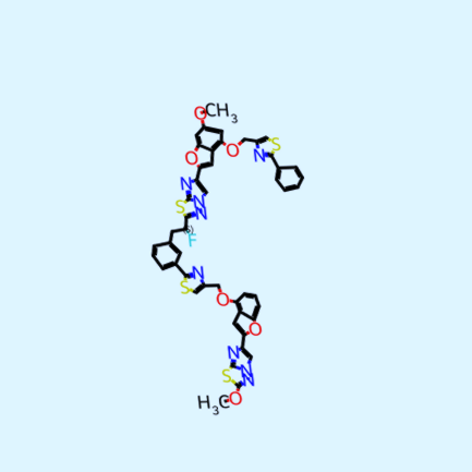 COc1cc(OCc2csc(-c3ccccc3)n2)c2cc(-c3cn4nc([C@@H](F)Cc5cccc(-c6nc(COc7cccc8oc(-c9cn%10nc(OC)sc%10n9)cc78)cs6)c5)sc4n3)oc2c1